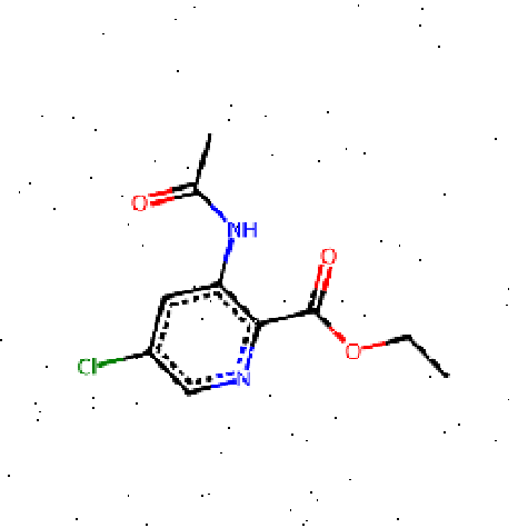 CCOC(=O)c1ncc(Cl)cc1NC(C)=O